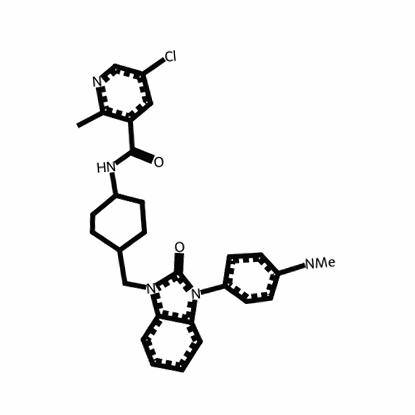 CNc1ccc(-n2c(=O)n(CC3CCC(NC(=O)c4cc(Cl)cnc4C)CC3)c3ccccc32)cc1